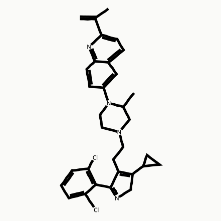 C=C(C)c1ccc2cc(N3CCN(CCC4=C(C5CC5)CN=C4c4c(Cl)cccc4Cl)CC3C)ccc2n1